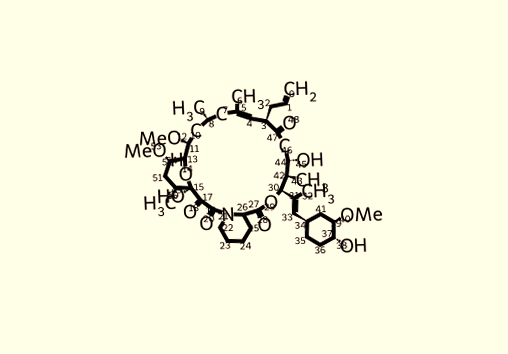 C=CC[C@@H]1/C=C(\C)C[C@@H](C)C[C@H](OC)[C@H]2O[C@@](O)(C(=O)C(=O)N3CCCCC3C(=O)O[C@H](/C(C)=C/[C@@H]3CC[C@@H](O)[C@H](OC)C3)[C@H](C)[C@@H](O)CC1=O)[C@H](C)C[C@@H]2OC